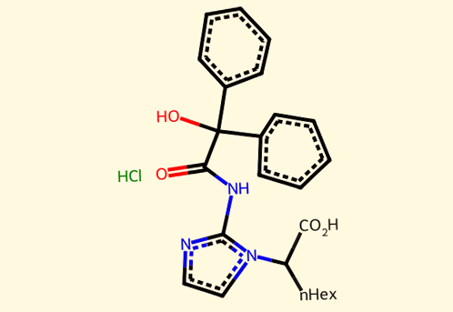 CCCCCCC(C(=O)O)n1ccnc1NC(=O)C(O)(c1ccccc1)c1ccccc1.Cl